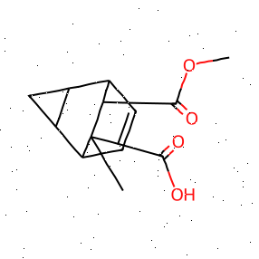 COC(=O)C1C2C=CC(C3CC23)C1(C)C(=O)O